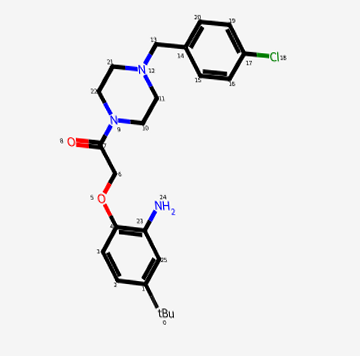 CC(C)(C)c1ccc(OCC(=O)N2CCN(Cc3ccc(Cl)cc3)CC2)c(N)c1